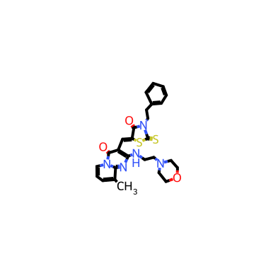 Cc1cccn2c(=O)c(/C=C3\SC(=S)N(CCc4ccccc4)C3=O)c(NCCN3CCOCC3)nc12